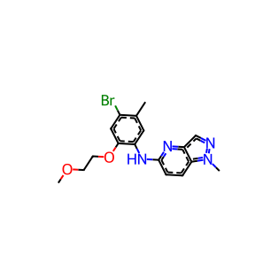 COCCOc1cc(Br)c(C)cc1Nc1ccc2c(cnn2C)n1